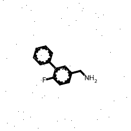 NCc1ccc(F)c(-c2ccccc2)c1